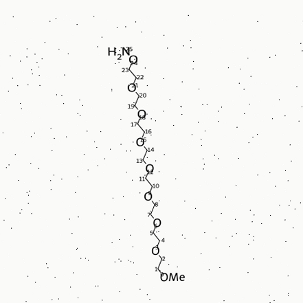 COCCOCCOCCOCCOCCOCCOCCOCCON